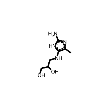 Cc1nc(N)[nH]c1NCC(O)CO